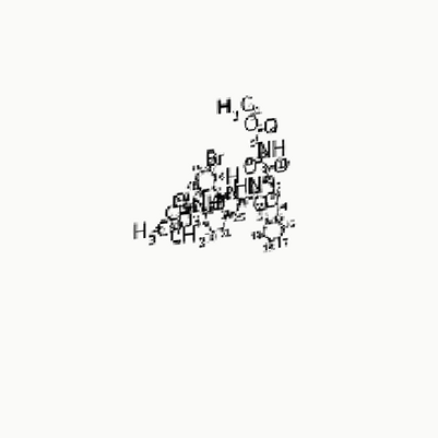 CCOC(=O)CNC(=O)C(=O)[C@@H](COCc1ccccc1)NC(=O)[C@@H](CC1CCCCC1)NC(=O)c1cc(Br)ccc1NC(=O)OC(C)(C)C